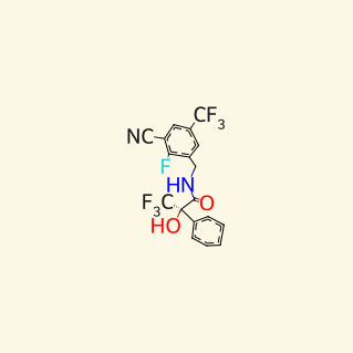 N#Cc1cc(C(F)(F)F)cc(CNC(=O)[C@](O)(c2ccccc2)C(F)(F)F)c1F